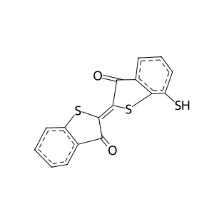 O=C1C(=C2Sc3c(S)cccc3C2=O)Sc2ccccc21